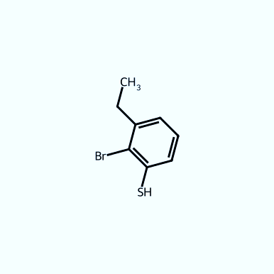 CCc1cccc(S)c1Br